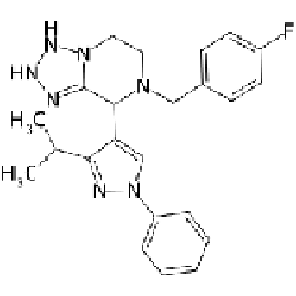 CC(C)c1nn(-c2ccccc2)cc1C1C2=NNNN2CCN1Cc1ccc(F)cc1